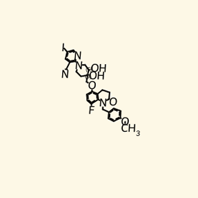 COc1ccc(CN2C(=O)CCc3c(OC[C@@]4(O)CCN(c5ncc(I)cc5C#N)C[C@@H]4O)ccc(F)c32)cc1